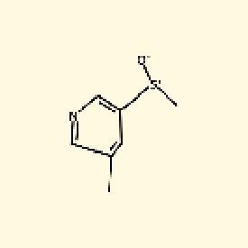 Cc1cncc([S+](C)[O-])c1